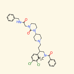 CN(CC(CCN1CCC(N2CCCN(CC(=O)NCc3ccccc3)C2=O)CC1)c1ccc(Cl)c(Cl)c1)C(=O)c1ccccc1